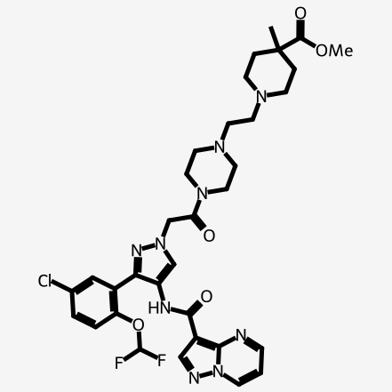 COC(=O)C1(C)CCN(CCN2CCN(C(=O)Cn3cc(NC(=O)c4cnn5cccnc45)c(-c4cc(Cl)ccc4OC(F)F)n3)CC2)CC1